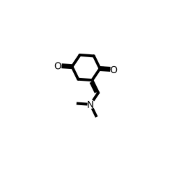 CN(C)C=C1CC(=O)CCC1=O